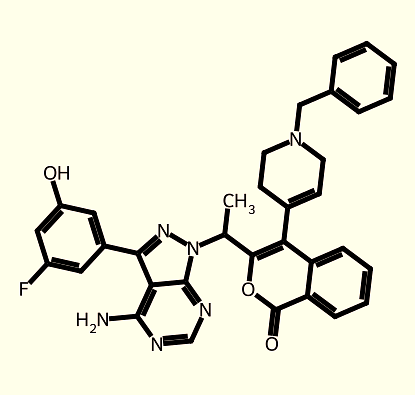 CC(c1oc(=O)c2ccccc2c1C1=CCN(Cc2ccccc2)CC1)n1nc(-c2cc(O)cc(F)c2)c2c(N)ncnc21